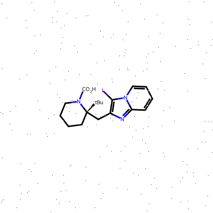 CC(C)(C)[C@@]1(Cc2nc3ccccn3c2I)CCCCN1C(=O)O